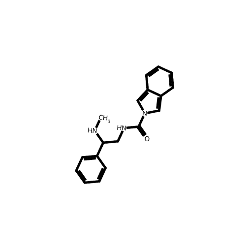 CNC(CNC(=O)n1cc2ccccc2c1)c1ccccc1